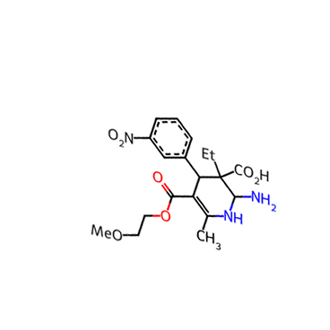 CCC1(C(=O)O)C(N)NC(C)=C(C(=O)OCCOC)C1c1cccc([N+](=O)[O-])c1